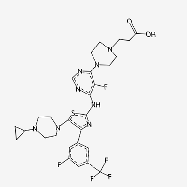 O=C(O)CCN1CCN(c2ncnc(Nc3nc(-c4cc(F)cc(C(F)(F)F)c4)c(N4CCN(C5CC5)CC4)s3)c2F)CC1